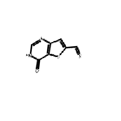 O=c1[nH]cnc2cc(C=S)sc12